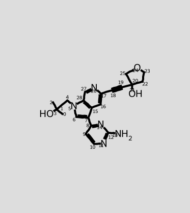 CC(C)(O)Cn1cc(-c2ccnc(N)n2)c2cc(C#CC3(O)CCOC3)ncc21